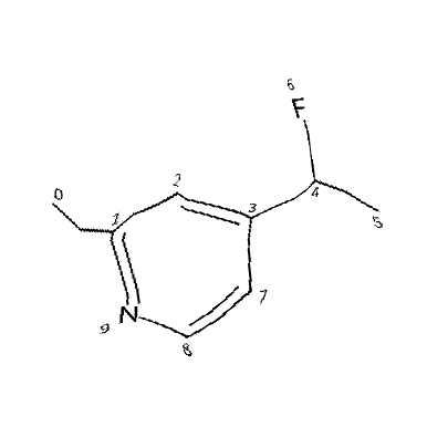 Cc1cc(C(C)F)ccn1